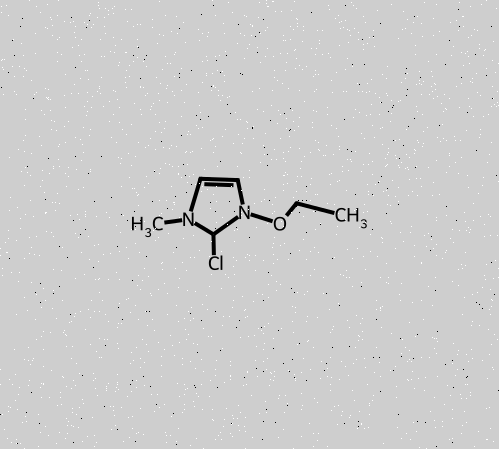 CCON1C=CN(C)C1Cl